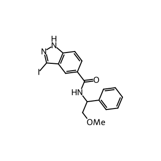 COCC(NC(=O)c1ccc2[nH]nc(I)c2c1)c1ccccc1